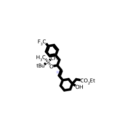 CCOC(=O)CC1(O)CCCC(/C=C/C(Cc2ccc(C(F)(F)F)cc2)O[Si](C)(C)C(C)(C)C)C1